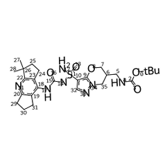 CC(C)(C)OC(=O)NCC1COc2c(S(N)(=O)=NC(=O)Nc3c4c(nc5c3CCC5(C)C)CCC4)cnn2C1